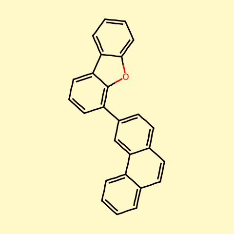 c1ccc2c(c1)ccc1ccc(-c3cccc4c3oc3ccccc34)cc12